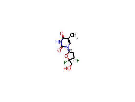 Cc1cn([C@H]2C[C@H](F)[C@@](F)(CO)O2)c(=O)[nH]c1=O